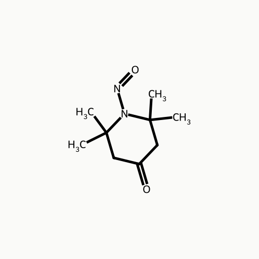 CC1(C)CC(=O)CC(C)(C)N1N=O